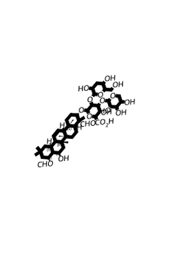 CC1(C)C[C@@H]2C([C@H](O)C[C@]3(C)C2C=C[C@@H]2[C@@]4(C)CC[C@H](OC5OC(C(=O)O)C(O)C(OC6OCC(O)C(O)C6O)C5OC5OC(CO)C(O)CC5O)[C@@](C)(C=O)[C@@H]4CC[C@]23C)[C@H](C=O)C1